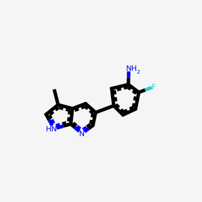 Cc1c[nH]c2ncc(-c3ccc(F)c(N)c3)cc12